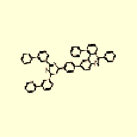 c1ccc(-c2cccc(-c3cc(-c4ccc(-c5ccc6nc(-c7ccccc7)c7cccc(-c8ccccc8)c7c6c5)cc4)nc(-c4cccc(-c5ccccc5)c4)n3)c2)cc1